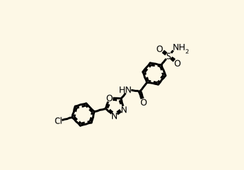 NS(=O)(=O)c1ccc(C(=O)Nc2nnc(-c3ccc(Cl)cc3)o2)cc1